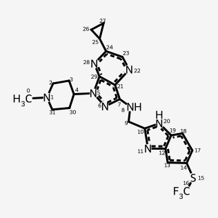 CN1CCC(n2nc(NCc3nc4cc(SC(F)(F)F)ccc4[nH]3)c3ncc(C4CC4)nc32)CC1